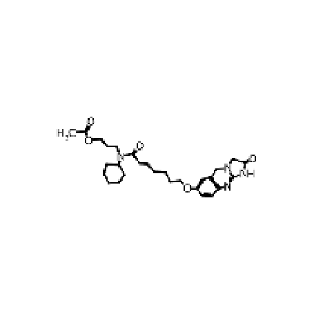 CC(=O)OCCCN(C(=O)CCCCCCOc1ccc2c(c1)CN1CC(=O)NC1=N2)C1CCCCC1